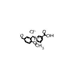 COc1ccc(C=O)cc1C[n+]1cccc(C(=O)O)c1.[Cl-]